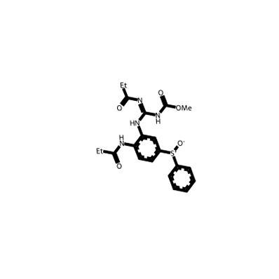 CCC(=O)N=C(NC(=O)OC)Nc1cc([S+]([O-])c2ccccc2)ccc1NC(=O)CC